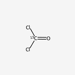 O=[13C](Cl)Cl